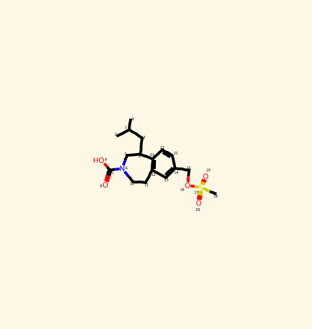 CC(C)CC1CN(C(=O)O)CCc2cc(COS(C)(=O)=O)ccc21